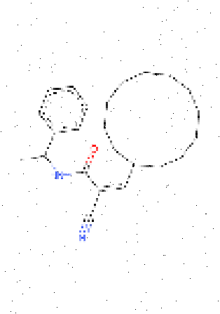 CC(NC(=O)C(C#N)=CC1CCCCCCCCCCC1)c1ccccc1